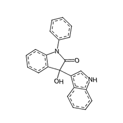 O=C1N(c2ccccc2)c2ccccc2C1(O)c1c[nH]c2ccccc12